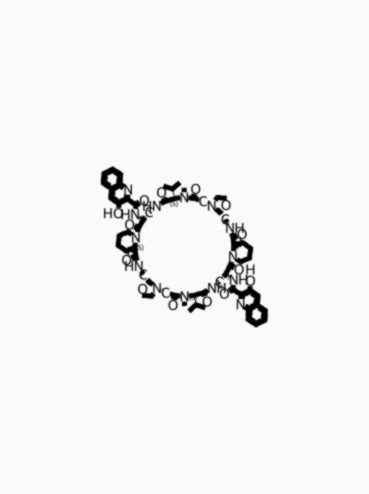 CCN1CC(=O)N(C)[C@@H](C(C)C)C(=O)NC[C@@H](NC(=O)c2nc3ccccc3cc2O)C(=O)N2CCCC[C@H]2C(=O)NCC(=O)N(CC)CC(=O)N(C)[C@@H](C(C)C)C(=O)NC[C@@H](NC(=O)c2nc3ccccc3cc2O)C(=O)N2CCCC[C@H]2C(=O)NCC1=O